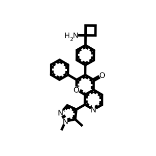 Cc1c(-c2nccc3c(=O)c(-c4ccc(C5(N)CCC5)cc4)c(-c4ccccc4)oc23)cnn1C